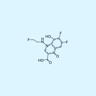 O=C(O)c1cn(NCCF)c2c(O)c(F)c(F)cc2c1=O